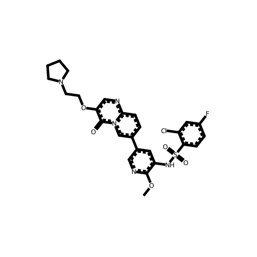 COc1ncc(-c2ccc3ncc(OCCN4CCCC4)c(=O)n3c2)cc1NS(=O)(=O)c1ccc(F)cc1Cl